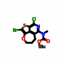 CN(C(=O)OC(C)(C)C)c1nc(Cl)c2sc(Br)c3c2c1CCCO3